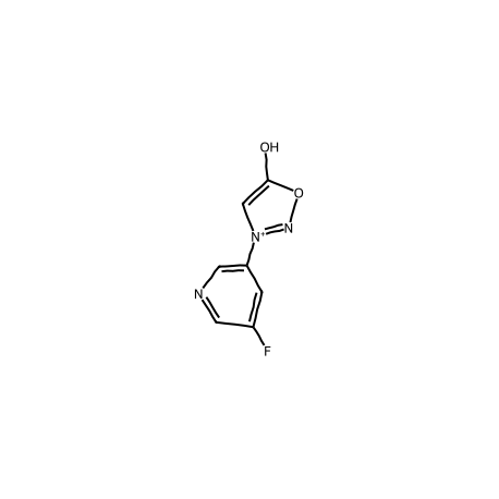 Oc1c[n+](-c2cncc(F)c2)no1